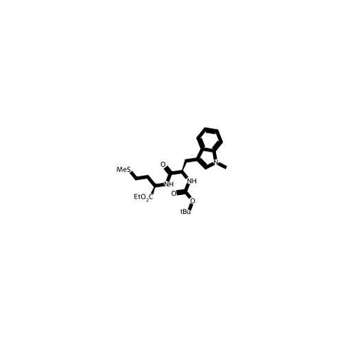 CCOC(=O)[C@@H](CCSC)NC(=O)[C@@H](Cc1cn(C)c2ccccc12)NC(=O)OC(C)(C)C